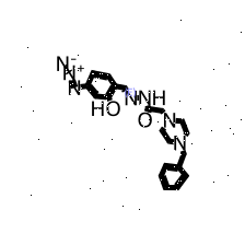 [N-]=[N+]=Nc1ccc(/C=N/NC(=O)CN2CCN(Cc3ccccc3)CC2)c(O)c1